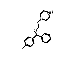 Cc1ccc(C(OCCN2CCNCC2)c2ccccc2)cc1